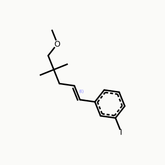 COCC(C)(C)C/C=C/c1cccc(I)c1